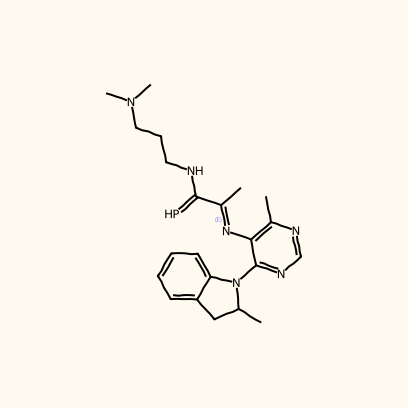 C/C(=N\c1c(C)ncnc1N1c2ccccc2CC1C)C(=P)NCCCN(C)C